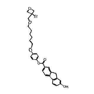 CCC1(COCCCCCCOc2ccc(OC(=O)c3ccc4c(c3)Cc3cc(O)ccc3-4)cc2)COC1